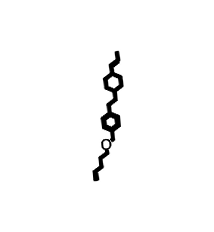 C=CCCCOCc1ccc(CCC2CCC(C=CC)CC2)cc1